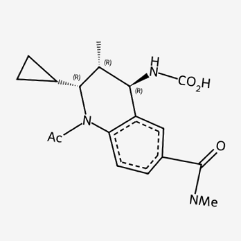 CNC(=O)c1ccc2c(c1)[C@H](NC(=O)O)[C@@H](C)[C@@H](C1CC1)N2C(C)=O